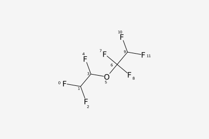 FC(F)C(F)OC(F)(F)C(F)F